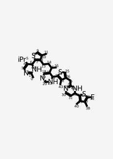 CC1=NC=C(C(C)C)C(c2scc(C)c2CCC(C)C2=CN=CNC2c2scc(CC3=NC=CC(c4sc(F)c(C)c4C)N3)c2C)N1